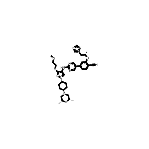 COCCOc1nn([C@H]2CC[C@H](N3C[C@@H](C)O[C@@H](C)C3)CC2)cc1Nc1ncc(-c2ccc(C#N)c(O[C@@H](C)Cn3cncn3)c2)cn1